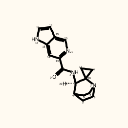 O=C(N[C@@H]1C2CCN(CC2)C12CC2)c1cc2[nH]ccc2cn1